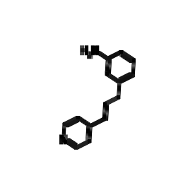 Nc1cccc(C/C=C/c2ccncc2)c1